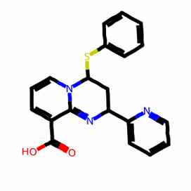 O=C(O)C1=CC=CN2C1=NC(c1ccccn1)CC2Sc1ccccc1